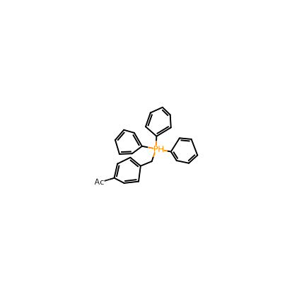 CC(=O)c1ccc(C[PH](c2ccccc2)(c2ccccc2)c2ccccc2)cc1